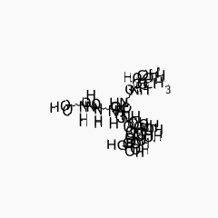 C[C@@H]1O[C@@H](OCCNC(=O)CCCCCNC(=O)CN(CC(=O)NCCCCCNC(=O)CNCC(=O)NCCCCCC(=O)O)CC(=O)NCCO[C@H]2O[C@H](CO[C@H]3O[C@H](CO)[C@@H](O)[C@H](O)[C@@H]3O)[C@@H](O)[C@H](O[C@H]3O[C@H](CO)[C@@H](O)[C@H](O)[C@@H]3O)[C@@H]2O)[C@@H](O)[C@H](O)[C@@H]1O